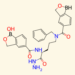 NNC(=O)[C@H](CCCN(Cc1ccccc1)C(=O)c1ccc2c(c1)COB2)NC(=O)c1ccc2c(c1)COB2O